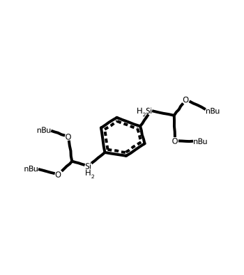 CCCCOC(OCCCC)[SiH2]c1ccc([SiH2]C(OCCCC)OCCCC)cc1